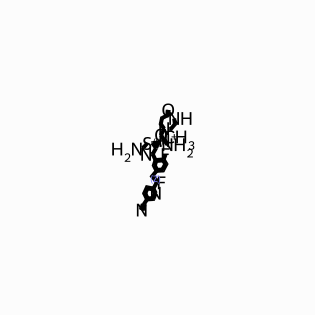 C[N+](N)(ON1CCNC(=O)CC1)[C@@H]1C2SC(N)=NC(c3cc(/C=C(\F)c4ccc(C#N)cn4)ccc3F)C21